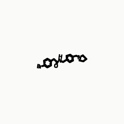 O=C(Cc1ccc(Br)cc1)NCc1ccc(CN2CCCC2)cc1